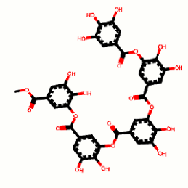 COC(=O)c1cc(O)c(O)c(OC(=O)c2cc(O)c(O)c(OC(=O)c3cc(O)c(O)c(OC(=O)c4cc(O)c(O)c(OC(=O)c5cc(O)c(O)c(O)c5)c4)c3)c2)c1